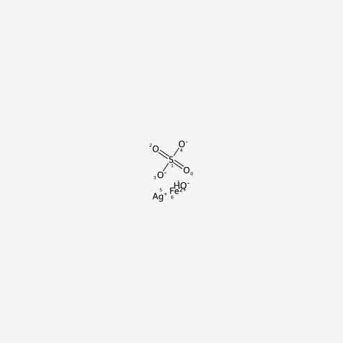 O=S(=O)([O-])[O-].[Ag+].[Fe+2].[OH-]